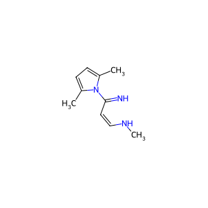 CN/C=C\C(=N)n1c(C)ccc1C